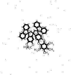 COc1cc2c(cc1OC)C1(CC23CC2(c4ccccc4-c4ccccc42)c2cc4c(cc23)Oc2c(C)c(C)c(C)c(C)c2O4)c2ccccc2-c2ccccc21